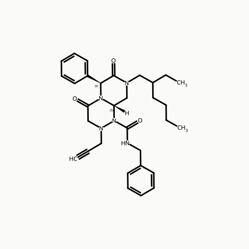 C#CCN1CC(=O)N2[C@@H](c3ccccc3)C(=O)N(CC(CC)CCCC)C[C@@H]2N1C(=O)NCc1ccccc1